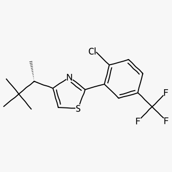 C[C@H](c1csc(-c2cc(C(F)(F)F)ccc2Cl)n1)C(C)(C)C